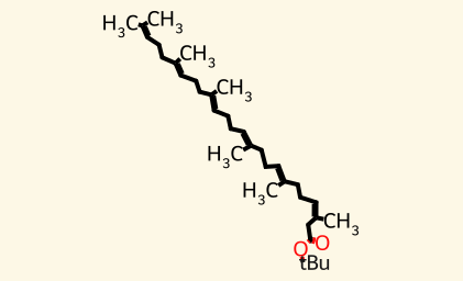 CC(C)=CCC/C(C)=C/CC/C(C)=C/CC/C=C(\C)CC/C=C(\C)CCC=C(C)CC(=O)OC(C)(C)C